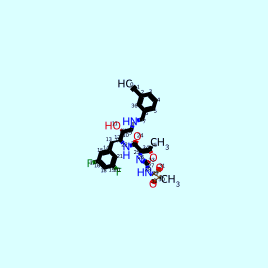 C#Cc1cccc(CNC[C@H](O)[C@H](Cc2cc(F)cc(F)c2)NC(=O)c2nc(NS(C)(=O)=O)oc2C)c1